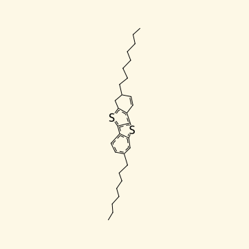 CCCCCCCCc1ccc2c(c1)sc1c3c(sc12)CC(CCCCCCCC)C=C3